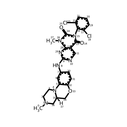 CN1CCN2c3cc(Nc4ncc5c(=O)n(-c6c(Cl)cccc6Cl)c(=O)n(C)c5n4)ccc3OC[C@@H]2C1